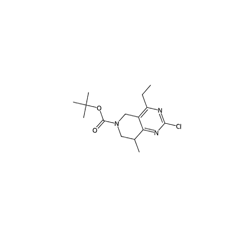 CCc1nc(Cl)nc2c1CN(C(=O)OC(C)(C)C)CC2C